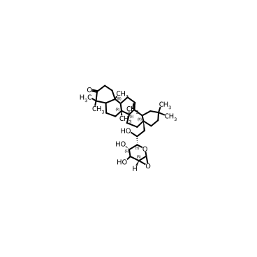 CC1(C)CC[C@]2(CC(O)[C@@H]3OC4O[C@@H]4C(O)[C@@H]3O)CC[C@]3(C)C(=CCC4[C@@]5(C)CCC(=O)C(C)(C)C5CC[C@]43C)C2C1